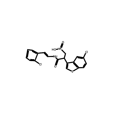 O=C(N/C=C/c1ccccc1Cl)C(C[PH](=O)O)c1csc2ccc(Cl)cc12